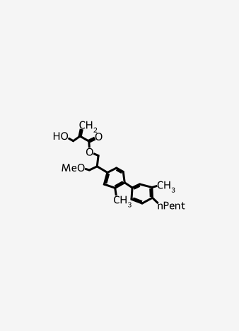 C=C(CO)C(=O)OCC(COC)c1ccc(-c2ccc(CCCCC)c(C)c2)c(C)c1